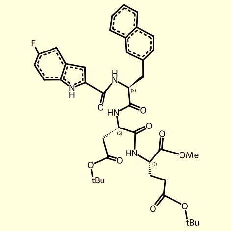 COC(=O)[C@H](CCC(=O)OC(C)(C)C)NC(=O)[C@H](CC(=O)OC(C)(C)C)NC(=O)[C@H](Cc1ccc2ccccc2c1)NC(=O)c1cc2cc(F)ccc2[nH]1